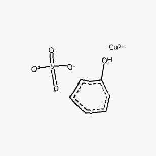 O=S(=O)([O-])[O-].Oc1ccccc1.[Cu+2]